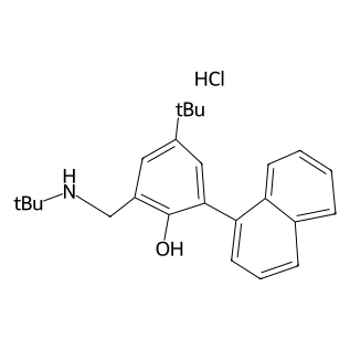 CC(C)(C)NCc1cc(C(C)(C)C)cc(-c2cccc3ccccc23)c1O.Cl